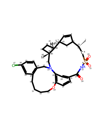 CO[C@@]12C=CC(C1)[C@H](C)CS(=O)(=O)NC(=O)c1ccc3c(c1)N(Cc1ccc(Cl)cc1CCCCO3)C[C@@H]1CC[C@H]12